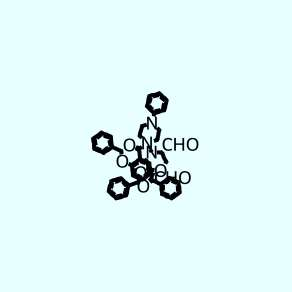 O=Cc1ccc(OCc2ccccc2)c(C(=O)[N+]2(N3CC(OCc4ccccc4)(C(=O)c4ccccc4)OCC3C=O)CCN(c3ccccc3)CC2)c1